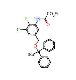 CCOC(=O)C(=O)Nc1cc(CO[Si](c2ccccc2)(c2ccccc2)C(C)(C)C)cc(Cl)c1F